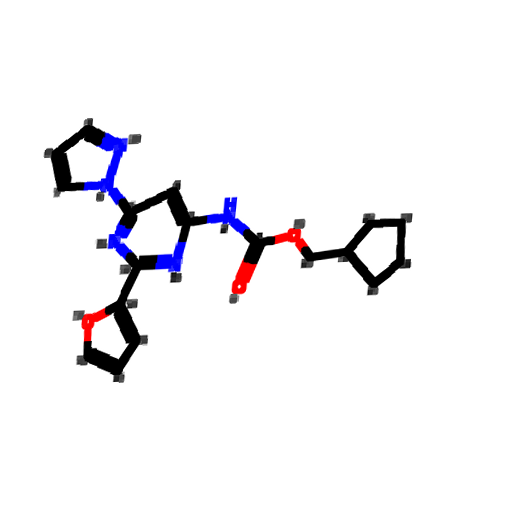 O=C(Nc1cc(-n2cccn2)nc(-c2ccco2)n1)OCC1CCCC1